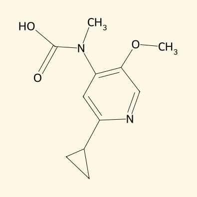 COc1cnc(C2CC2)cc1N(C)C(=O)O